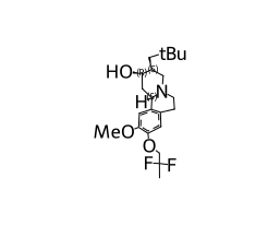 COc1cc2c(cc1OCC(C)(F)F)CCN1C[C@H](CC(C)(C)C)[C@H](O)C[C@@H]21